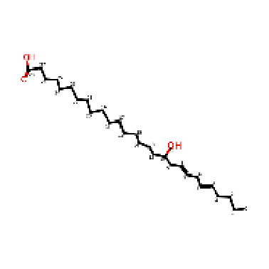 CCCCC=CCC=CCC(O)CCCCCCCCCCCCCCCCC(=O)O